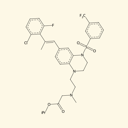 C/C(=C\c1ccc2c(c1)N(S(=O)(=O)c1cccc(C(F)(F)F)c1)CCN2CCN(C)CC(=O)OC(C)C)c1c(F)cccc1Cl